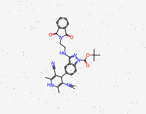 [C-]#[N+]C1=C(C)NC(C)=C(C#N)C1c1ccc2c(c1)c(NCCN1C(=O)c3ccccc3C1=O)nn2C(=O)OC(C)(C)C